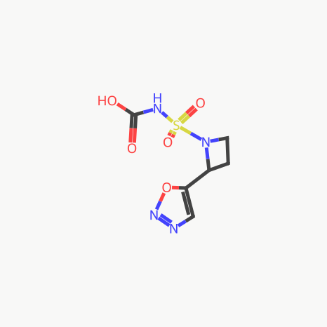 O=C(O)NS(=O)(=O)N1CCC1c1cnno1